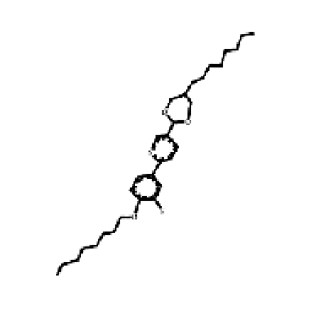 CCCCCCCCOc1ccc(-c2ccc(C3OCC(CCCCCCCC)CO3)cn2)cc1F